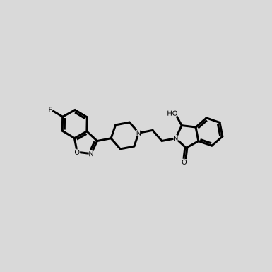 O=C1c2ccccc2C(O)N1CCN1CCC(c2noc3cc(F)ccc23)CC1